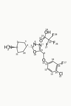 N[C@H]1CC[C@H](c2nnc(COc3ccc(Cl)c(F)c3)o2)CC1.O=C(O)C(F)(F)F